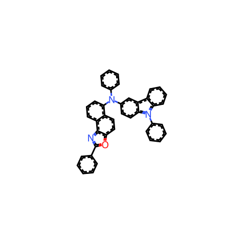 c1ccc(-c2nc3c(ccc4c(N(c5ccccc5)c5ccc6c(c5)c5ccccc5n6-c5ccccc5)cccc43)o2)cc1